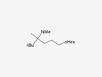 CCCCCCCCCC(C)(CCCC)NC